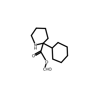 O=COC(=O)C1(C2CCCCC2)CCCCN1